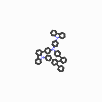 c1ccc(-c2ccccc2-c2ccccc2-c2ccc(N(c3ccc(-c4cccc5c6ccccc6n(-c6ccccc6)c45)cc3)c3ccc(-n4c5ccccc5c5ccccc54)cc3)cc2)cc1